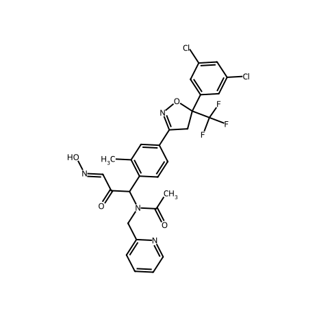 CC(=O)N(Cc1ccccn1)C(C(=O)C=NO)c1ccc(C2=NOC(c3cc(Cl)cc(Cl)c3)(C(F)(F)F)C2)cc1C